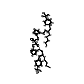 CCCCCC(CCn1ccnc1OC(=O)C(=O)Oc1nccn1CCC(CCCCC)Sc1ccc(C(C)(C)C)cc1)Sc1ccc(C(C)(C)C)cc1